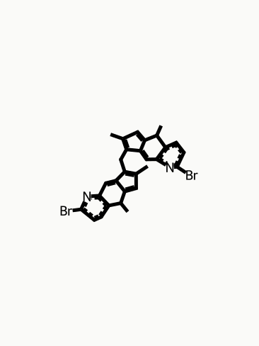 CC1=C(CC2=C(C)C=C3C2=Cc2nc(Br)ccc2C3C)C2=Cc3nc(Br)ccc3C(C)C2=C1